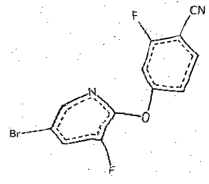 N#Cc1ccc(Oc2ncc(Br)cc2F)cc1F